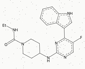 CCNC(=O)N1CCC(Nc2ncc(F)c(-c3c[nH]c4ccccc34)n2)CC1